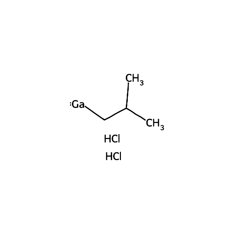 CC(C)[CH2][Ga].Cl.Cl